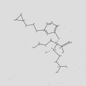 COCO[C@@](Cc1cc(CCCC2CC2)ccn1)(C(C)=O)[C@@H](C)CCC(C)C